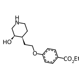 CCOC(=O)c1ccc(OCC[C@@H]2CCNC[C@@H]2O)cc1